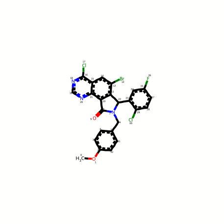 COc1ccc(CN2C(=O)c3c(c(Br)cc4c(Cl)ncnc34)C2c2cc(F)ccc2Cl)cc1